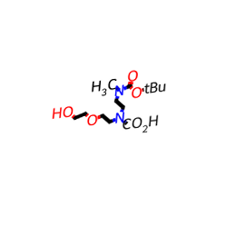 CN(CCN(CCOCCO)C(=O)O)C(=O)OC(C)(C)C